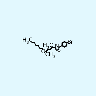 CCCCCCCO/C(C)=C/C=C(\C)c1csc(-c2ccc(Br)cc2)n1